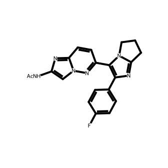 CC(=O)Nc1cn2nc(-c3c(-c4ccc(F)cc4)nc4n3CCC4)ccc2n1